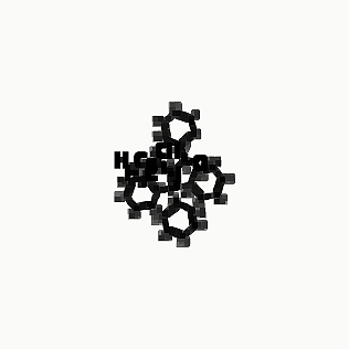 [CH3][Sn]([CH3])([CH3])[CH](C(=O)c1ccccc1)[PH](c1ccccc1)(c1ccccc1)c1ccccc1